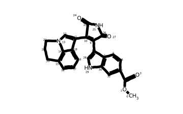 COC(=O)c1ccc2c(C3=C(c4cn5c6c(cccc46)CCC5)C(=O)NC3=O)c[nH]c2c1